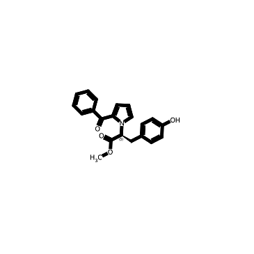 COC(=O)[C@H](Cc1ccc(O)cc1)n1cccc1C(=O)c1ccccc1